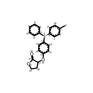 Cc1ccc([S+](c2ccccc2)c2ccc(OC3CCOC3=O)cc2)cc1